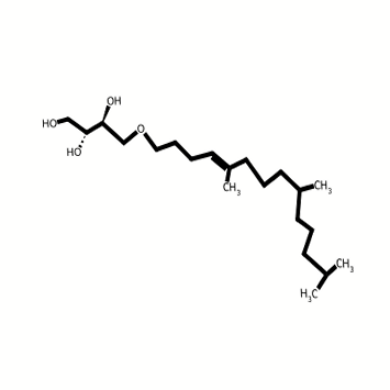 C/C(=C\CCCOC[C@H](O)[C@H](O)CO)CCCC(C)CCCC(C)C